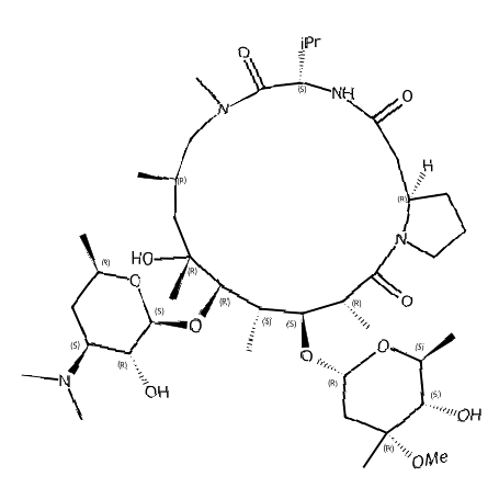 CO[C@]1(C)C[C@H](O[C@H]2[C@H](C)[C@@H](O[C@@H]3O[C@H](C)C[C@H](N(C)C)[C@H]3O)[C@](C)(O)C[C@@H](C)CN(C)C(=O)[C@H](C(C)C)NC(=O)C[C@H]3CCCN3C(=O)[C@@H]2C)O[C@@H](C)[C@@H]1O